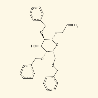 C=CCO[C@@H]1O[C@H](COCc2ccccc2)[C@H](OCc2ccccc2)[C@H](O)[C@H]1OCc1ccccc1